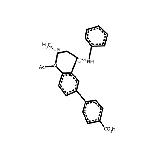 CC(=O)N1c2ccc(-c3ccc(C(=O)O)cc3)cc2[C@@H](Nc2ccccc2)C[C@H]1C